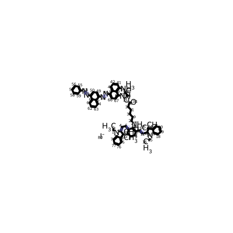 CCN1/C(=C/C=C2\CCCC(/C=C/C3=[N+](CC)c4ccccc4C3(C)C)=C2NCCCCCC(=O)OCC2(C)Nc3cccc4c(/N=N/c5ccc(/N=N/c6ccccc6)c6ccccc56)ccc(c34)N2)C(C)(C)c2ccccc21.[I-]